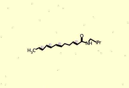 C/C=C/C=C/C=C/CC/C=C/C(=O)NCC(C)C